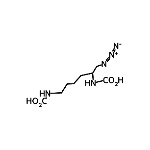 [N-]=[N+]=NCC(CCCCNC(=O)O)NC(=O)O